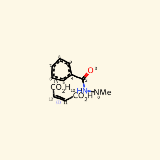 CNNC(=O)c1ccccc1.O=C(O)/C=C\C(=O)O